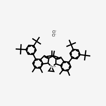 Cc1cc(-c2cc(C(C)(C)C)cc(C(C)(C)C)c2)c2c(c1C)[CH]([Zr+2]1([CH]3C(C(C)C)=Cc4c(-c5cc(C(C)(C)C)cc(C(C)(C)C)c5)cc(C)c(C)c43)[CH2][CH2]1)C(C(C)C)=C2.[Cl-].[Cl-]